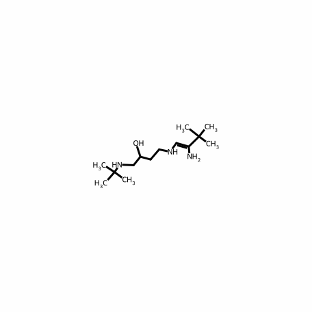 CC(C)(C)NCC(O)CCN/C=C(\N)C(C)(C)C